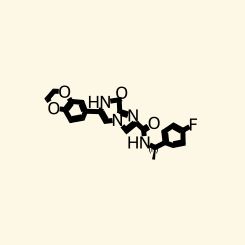 C[C@@H](NC(=O)c1cn2cc(-c3ccc4c(c3)OCCO4)[nH]c(=O)c2n1)c1ccc(F)cc1